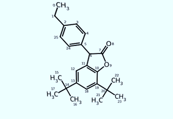 CCc1ccc(C2C(=O)Oc3c2cc(C(C)(C)C)cc3C(C)(C)C)cc1